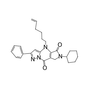 C=CCCCCn1c2c(c(=O)n3nc(-c4ccccc4)cc13)CN(C1CCCCC1)C2=O